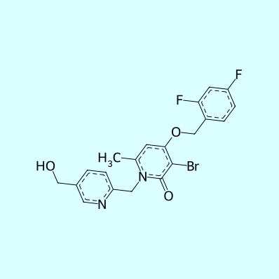 Cc1cc(OCc2ccc(F)cc2F)c(Br)c(=O)n1Cc1ccc(CO)cn1